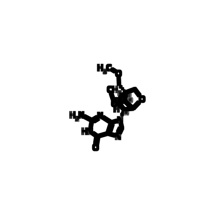 COC[C@@]12COC([C@H](n3cnc4c(=O)[nH]c(N)nc43)O1)[C@H]2OC